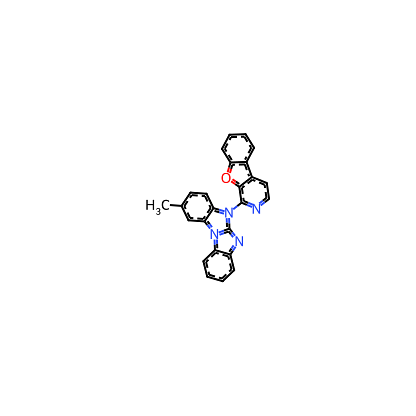 Cc1ccc2c(c1)n1c3ccccc3nc1n2-c1nccc2c1oc1ccccc12